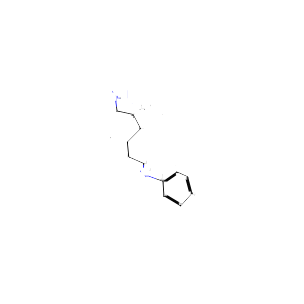 C[C@@H](CCNc1ccccc1)C[C@H](CN)C(=O)O